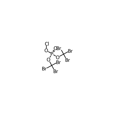 O=P(OCl)(OC(Br)(Br)Br)OC(Br)(Br)Br